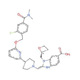 CN(C)C(=O)c1ccc(COc2cccc(C3CCN(C=C4Nc5ccc(C(=O)O)cc5N4C[C@@H]4CCO4)CC3)n2)c(F)c1